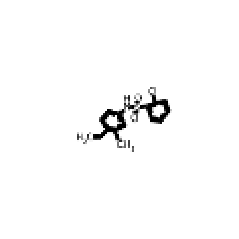 C=Cc1ccc(NS(=O)(=O)c2ccccc2Cl)cc1C